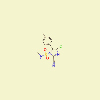 Cc1ccc(-c2c(Cl)nc(C#N)n2S(=O)(=O)N(C)C)cc1